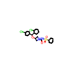 O=C(NS(=O)(=O)c1ccccc1)N1CC(OC(c2ccc(Cl)cc2)c2ccccc2Cl)C1